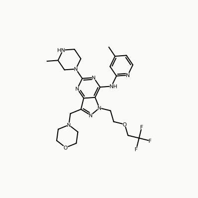 Cc1ccnc(Nc2nc(N3CCNC(C)C3)nc3c(CN4CCOCC4)nn(CCOCC(F)(F)F)c23)c1